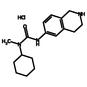 CN(C(=O)Nc1ccc2c(c1)CCNC2)C1CCCCC1.Cl